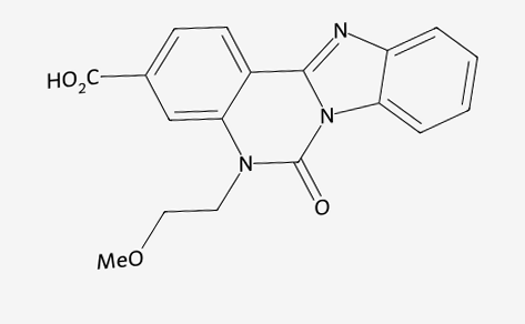 COCCn1c(=O)n2c3ccccc3nc2c2ccc(C(=O)O)cc21